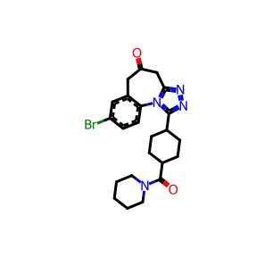 O=C1Cc2cc(Br)ccc2-n2c(nnc2C2CCC(C(=O)N3CCCCC3)CC2)C1